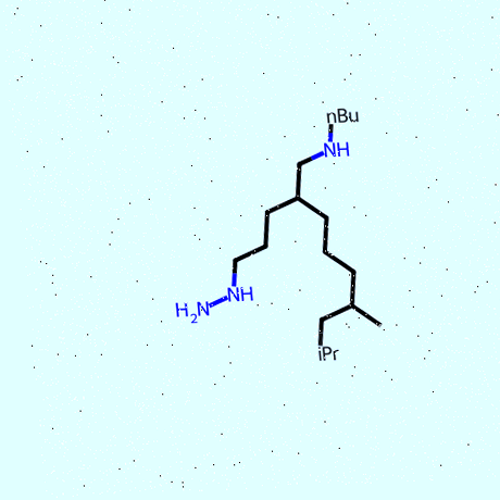 CCCCNCC(CCCNN)CCCC(C)CC(C)C